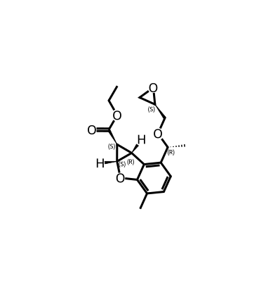 CCOC(=O)[C@@H]1[C@H]2Oc3c(C)ccc([C@@H](C)OC[C@H]4CO4)c3[C@H]21